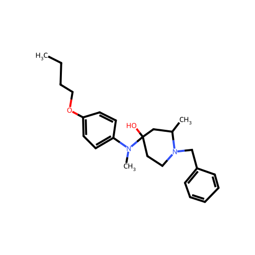 CCCCOc1ccc(N(C)C2(O)CCN(Cc3ccccc3)C(C)C2)cc1